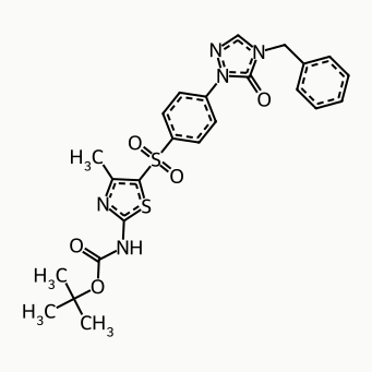 Cc1nc(NC(=O)OC(C)(C)C)sc1S(=O)(=O)c1ccc(-n2ncn(Cc3ccccc3)c2=O)cc1